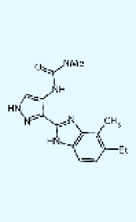 CCc1ccc2[nH]c(-c3n[nH]cc3NC(=O)NC)nc2c1C